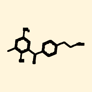 CCCCCCCCCCCCc1ccc(C(=O)c2cc([N+](=O)[O-])cc(C)c2O)cc1